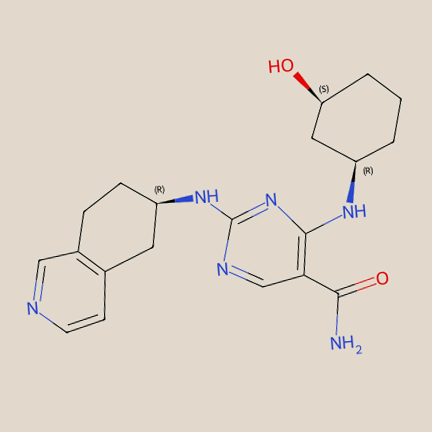 NC(=O)c1cnc(N[C@@H]2CCc3cnccc3C2)nc1N[C@@H]1CCC[C@H](O)C1